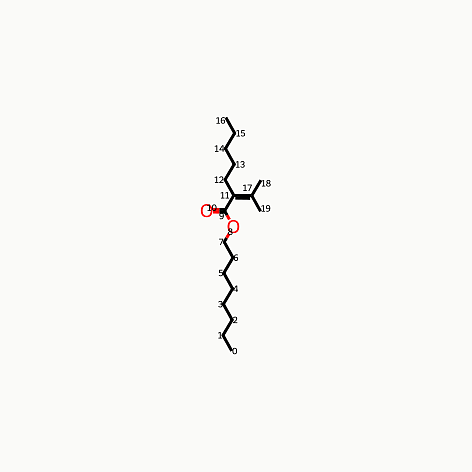 CCCCCCCCOC(=O)C(CCCCC)=C(C)C